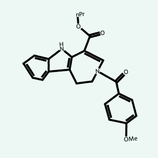 CCCOC(=O)C1=CN(C(=O)c2ccc(OC)cc2)CCc2c1[nH]c1ccccc21